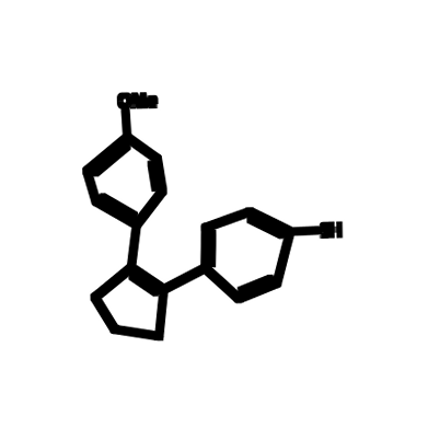 COc1ccc(C2=C(c3ccc(S)cc3)CCC2)cc1